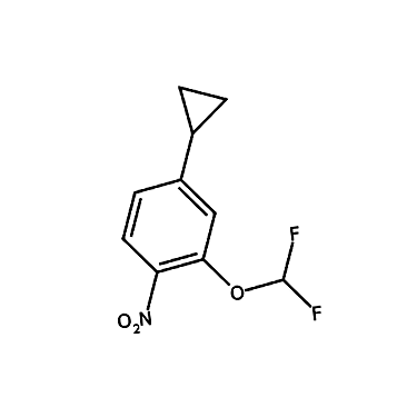 O=[N+]([O-])c1ccc(C2CC2)cc1OC(F)F